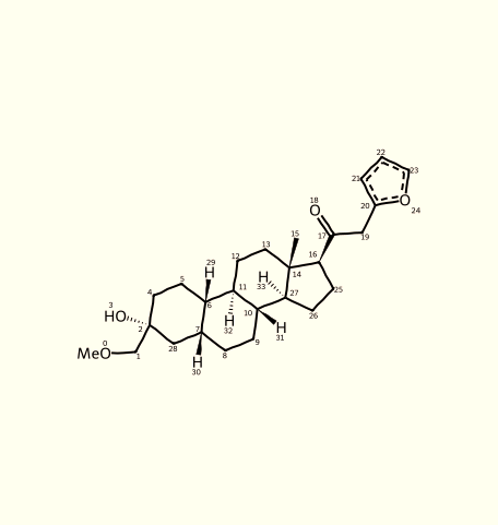 COC[C@@]1(O)CC[C@H]2[C@H](CC[C@@H]3[C@@H]2CC[C@]2(C)[C@@H](C(=O)Cc4ccco4)CC[C@@H]32)C1